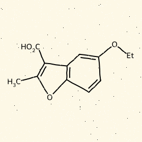 CCOc1ccc2oc(C)c(C(=O)O)c2c1